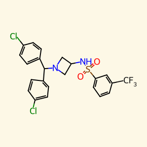 O=S(=O)(NC1CN(C(c2ccc(Cl)cc2)c2ccc(Cl)cc2)C1)c1cccc(C(F)(F)F)c1